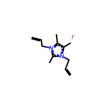 C=CCn1c(C)c(C)[n+](CC=C)c1C.[I-]